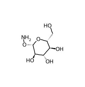 NO[C@@H]1O[C@H](CO)[C@@H](O)[C@H](O)[C@H]1O